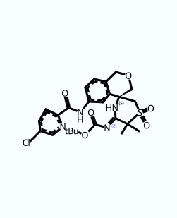 CC(C)(C)OC(=O)/N=C1\N[C@@]2(COCc3ccc(NC(=O)c4ccc(Cl)cn4)cc32)CS(=O)(=O)C1(C)C